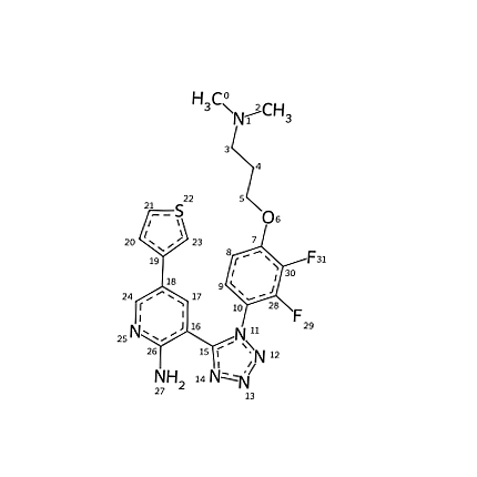 CN(C)CCCOc1ccc(-n2nnnc2-c2cc(-c3ccsc3)cnc2N)c(F)c1F